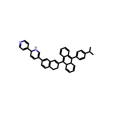 CC(C)c1ccc(C2=c3ccccc3=C(C3=Cc4cc(C5=CNC(c6ccncc6)C=C5)ccc4CC3)C3C=CC=CC23)cc1